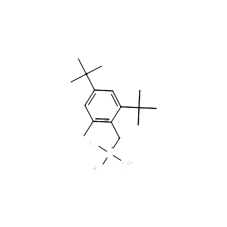 Cc1cc(C(C)(C)C)cc(C(C)(C)C)c1C[PH](O)(O)O